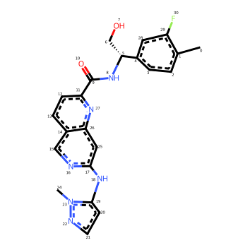 Cc1ccc([C@@H](CO)NC(=O)c2ccc3cnc(Nc4ccnn4C)cc3n2)cc1F